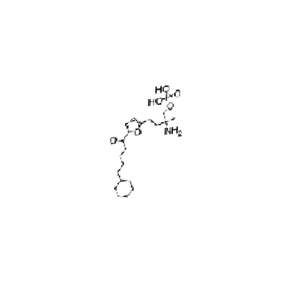 CC(N)(CCc1ccc(C(=O)CCCCC2CCCCC2)o1)COP(=O)(O)O